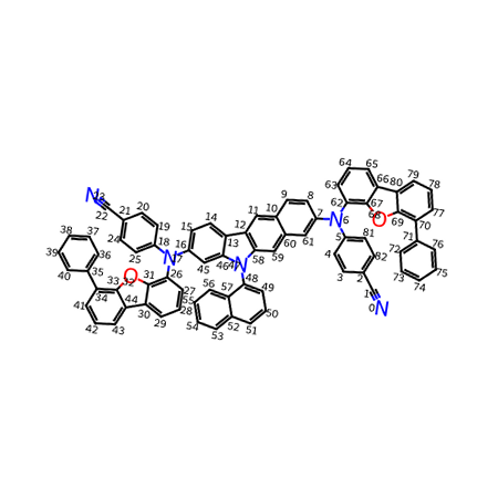 N#Cc1ccc(N(c2ccc3cc4c5ccc(N(c6ccc(C#N)cc6)c6cccc7c6oc6c(-c8ccccc8)cccc67)cc5n(-c5cccc6ccccc56)c4cc3c2)c2cccc3c2oc2c(-c4ccccc4)cccc23)cc1